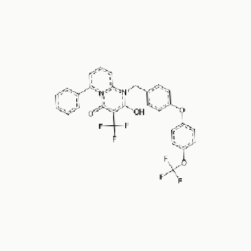 O=c1c(C(F)(F)F)c(O)[n+](Cc2ccc(Oc3ccc(OC(F)(F)F)cc3)cc2)c2cccc(-c3ccccc3)n12